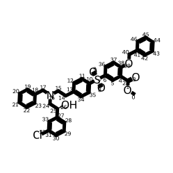 COC(=O)c1cc(S(=O)(=O)c2ccc(CCN(Cc3ccccc3)C[C@H](O)c3cccc(Cl)c3)cc2)ccc1OCc1ccccc1